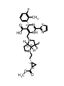 COC(=O)[C@@H]1C[C@H]1CCN1CC[C@H]2[C@@H]1C(F)(F)CN2CC1=C(C(=O)O)[C@H](c2cccc(F)c2C)N=C(c2nccs2)N1